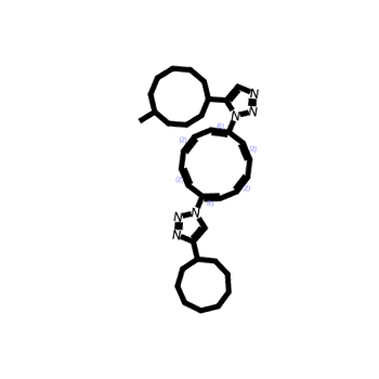 CC1CCCCCC(c2cnnn2C2=C/C=C\C=C/C(n3cc(C4CCCCCCCC4)nn3)=C\C=C/C=C\2)CCC1